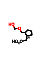 O=C(O)C[C@@H]1CCCC1COCO